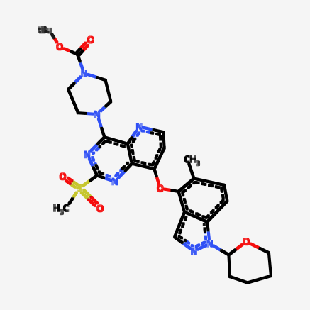 Cc1ccc2c(cnn2C2CCCCO2)c1Oc1ccnc2c(N3CCN(C(=O)OC(C)(C)C)CC3)nc(S(C)(=O)=O)nc12